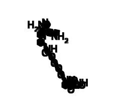 Nc1ncccc1-c1nc2ccc(-c3cccc(CCNC(=O)CCOCCOCCOCCOCCNc4cccc5c4C(=O)N(C4CCC(=O)NC4=O)C5=O)c3)nc2n1-c1ccc(C2(N)CCC2)cc1